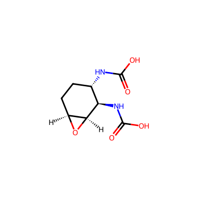 O=C(O)N[C@H]1[C@H]2O[C@H]2CC[C@@H]1NC(=O)O